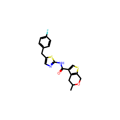 CC1Cc2c(C(=O)Nc3ncc(Cc4ccc(F)cc4)s3)csc2CO1